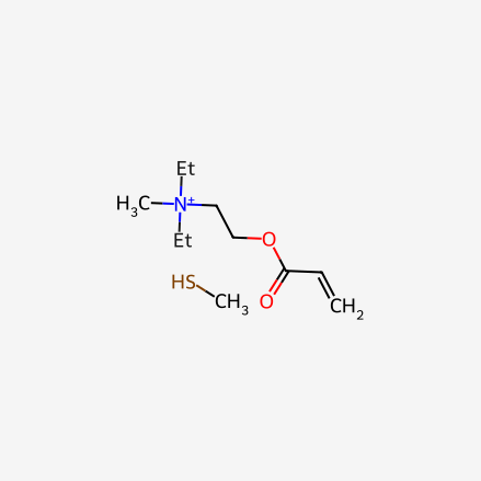 C=CC(=O)OCC[N+](C)(CC)CC.CS